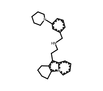 c1cc(CNCCc2c3c(n4ccccc24)CCCC3)cc(N2CCCCC2)c1